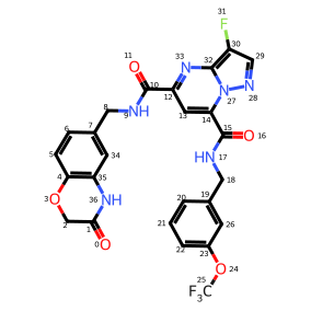 O=C1COc2ccc(CNC(=O)c3cc(C(=O)NCc4cccc(OC(F)(F)F)c4)n4ncc(F)c4n3)cc2N1